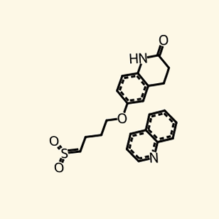 O=C1CCc2cc(OCCCC=S(=O)=O)ccc2N1.c1ccc2ncccc2c1